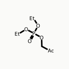 CCOP(=O)(OCC)OCC(C)=O